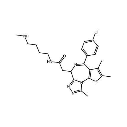 CNCCCCNC(=O)CC1N=C(c2ccc(Cl)cc2)c2c(sc(C)c2C)-n2c(C)nnc21